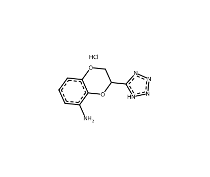 Cl.Nc1cccc2c1OC(c1nnn[nH]1)CO2